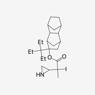 CCC(CC)(CC)C1(OC(=O)C(C)(I)C2CN2)CC2CC1C1C3CCC(C3)C21